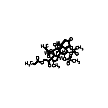 CCC(=O)OCC(=O)[C@]1(OC(=O)CC)[C@H](C)C[C@H]2[C@@H]3[C@@H](OS(C)(=O)=O)[C@@H](OS(C)(=O)=O)C4=CC(=O)C=C[C@]4(C)[C@@]3(F)[C@@H](O)C[C@@]21C